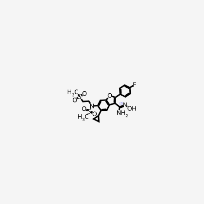 CS(=O)(=O)CCN(c1cc2oc(-c3ccc(F)cc3)c(/C(N)=N/O)c2cc1C1CC1)S(C)(=O)=O